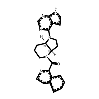 O=C(c1nccc2ccccc12)N1CCC[C@@H]2[C@H]1CCN2c1ncnc2[nH]ccc12